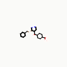 O=C(O)C1CCC(C(=O)c2ccncc2SCc2ccccc2)CC1